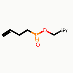 C=CCC[PH](=O)OCC(C)C